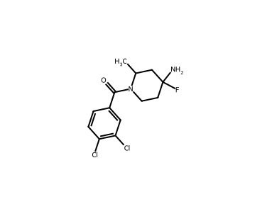 CC1CC(N)(F)CCN1C(=O)c1ccc(Cl)c(Cl)c1